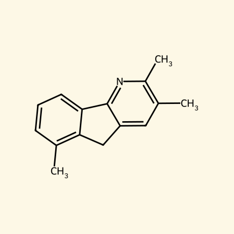 Cc1cc2c(nc1C)-c1cccc(C)c1C2